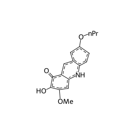 CCCOc1ccc2[nH]c3cc(OC)c(O)c(=O)c-3cc2c1